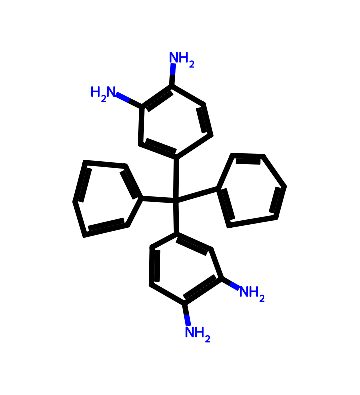 Nc1ccc(C(c2ccccc2)(c2ccccc2)c2ccc(N)c(N)c2)cc1N